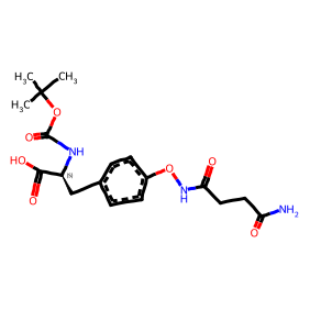 CC(C)(C)OC(=O)N[C@@H](Cc1ccc(ONC(=O)CCC(N)=O)cc1)C(=O)O